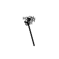 CCCCCCCCCCCCCCCCCCCCCCCCCCCC(=O)N[C@@H](CO[C@H]1O[C@H](CO)[C@H](O)[C@H](O)[C@H]1O)[C@H](O)[C@H](O)CC